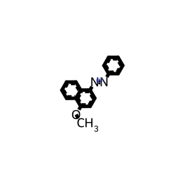 COc1ccc(/N=N/c2ccccc2)c2ccccc12